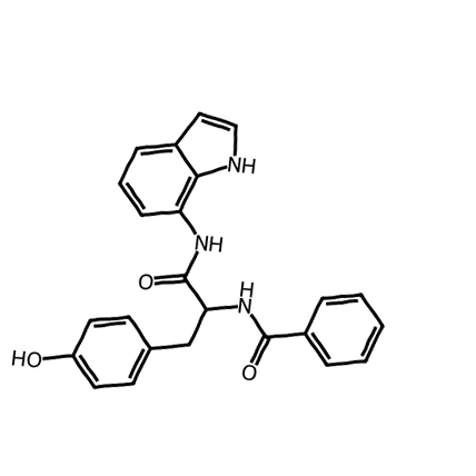 O=C(NC(Cc1ccc(O)cc1)C(=O)Nc1cccc2cc[nH]c12)c1ccccc1